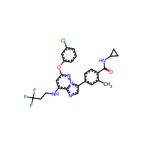 Cc1cc(-c2cnc3c(NCCC(F)(F)F)cc(Oc4cccc(Cl)c4)nn23)ccc1C(=O)NC1CC1